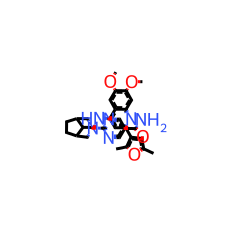 COc1cc2nc(-c3cc(C)oc3C)cc(NCC3C4CCC3CN(c3ncc(C(N)=O)cn3)C4)c2cc1OC